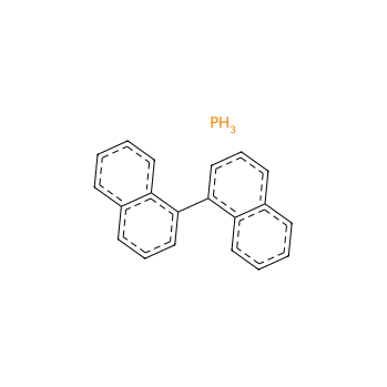 P.c1ccc2c(-c3cccc4ccccc34)cccc2c1